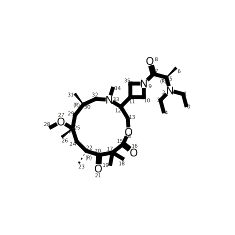 CCN(CC)[C@H](C)C(=O)N1CC(C2COC(=O)C(C)(C)C(=O)[C@H](C)C[C@](C)(OC)C[C@@H](C)CN2C)C1